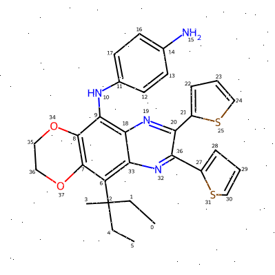 CCC(C)(CC)c1c2c(c(Nc3ccc(N)cc3)c3nc(-c4cccs4)c(-c4cccs4)nc13)OCCO2